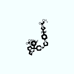 C=CC(=O)N1CC(C(F)(F)c2ccc(N3CC[C@@H](CN4CCC([C@@](CN5CCC5)(c5cccc(F)c5)[C@H]5CCC[C@@H]5NC(=O)OC)CC4)C3)cc2)C1